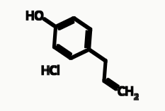 C=CCc1ccc(O)cc1.Cl